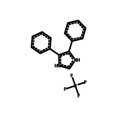 F[B-](F)(F)F.c1ccc(-c2[nH]c[nH+]c2-c2ccccc2)cc1